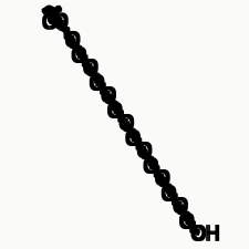 CC=C(C)C(=O)OCCCOCCOCCOCCOCCOCCOCCOCCOCCOCCOCCOCCOCCOCCOCCO